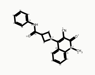 Cn1c(=O)c(C#N)c(N2CC(C(=O)Nc3ccccc3)C2)c2ccccc21